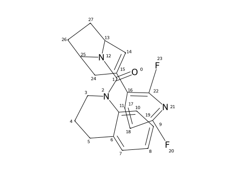 O=C(N1CCCc2ccccc21)N1C2C=C(c3ccc(F)nc3F)CC1CC2